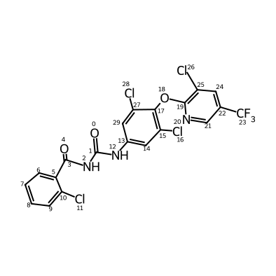 O=C(NC(=O)c1ccccc1Cl)Nc1cc(Cl)c(Oc2ncc(C(F)(F)F)cc2Cl)c(Cl)c1